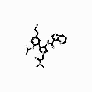 CN(C)C(=O)Cn1cc(NC(=O)c2cnn3cccnc23)c(-c2cc(CCF)ccc2OC(F)F)n1